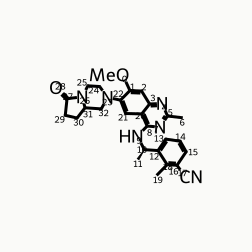 COc1cc2nc(C)nc(N[C@H](C)c3cccc(C#N)c3C)c2cc1N1CCN2C(=O)CCC2C1